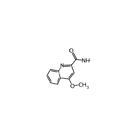 COc1cc(C([NH])=O)nc2ccccc12